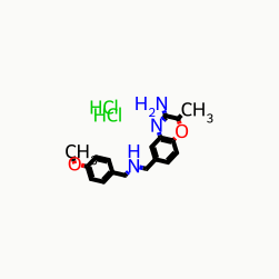 COc1ccc(CNCc2ccc3c(c2)N=C(N)C(C)O3)cc1.Cl.Cl